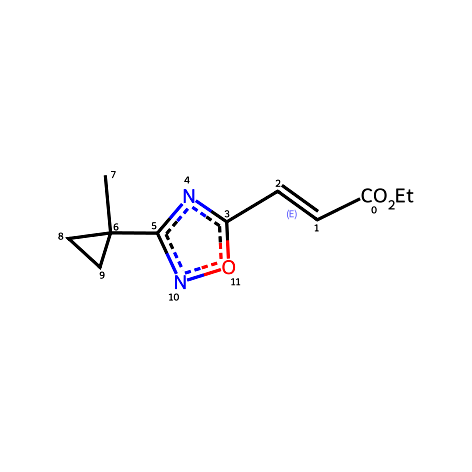 CCOC(=O)/C=C/c1nc(C2(C)CC2)no1